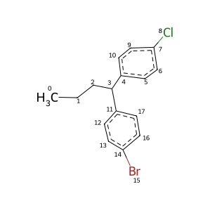 CCCC(c1ccc(Cl)cc1)c1ccc(Br)cc1